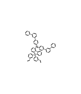 C=Cc1cccc(S2(c3cccc(C=C)c3)c3ccccc3-c3c(N(c4ccc(-c5cccc(-c6ccccc6)c5)cc4)c4ccc(-c5cccc(-c6ccccc6)c5)cc4)cccc32)c1